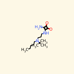 CCCCCN(CCCNc1c(N)c(=O)c1=O)C(C)(C)C